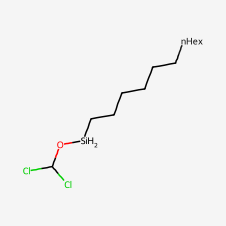 CCCCCCCCCCCC[SiH2]OC(Cl)Cl